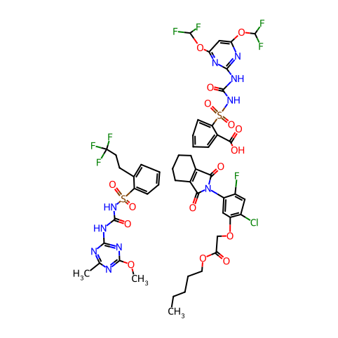 CCCCCOC(=O)COc1cc(N2C(=O)C3=C(CCCC3)C2=O)c(F)cc1Cl.COc1nc(C)nc(NC(=O)NS(=O)(=O)c2ccccc2CCC(F)(F)F)n1.O=C(Nc1nc(OC(F)F)cc(OC(F)F)n1)NS(=O)(=O)c1ccccc1C(=O)O